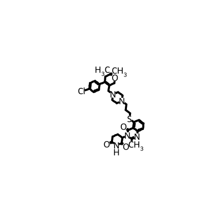 Cc1nc2cccc(SCCCN3CCN(CC4=C(c5ccc(Cl)cc5)CC(C)(C)OC4)CC3)c2c(=O)n1C1CCC(=O)NC1=O